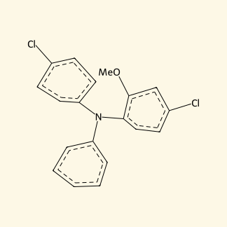 COc1cc(Cl)ccc1N(c1ccccc1)c1ccc(Cl)cc1